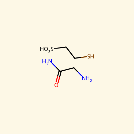 NCC(N)=O.O=S(=O)(O)CCS